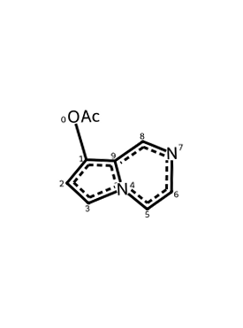 CC(=O)Oc1ccn2ccncc12